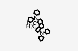 Cc1c(N(c2ccccc2)c2ccccc2)ccc2ccc3c(N(c4c#cccc4)c4ccccc4)ccc(C)c3c12